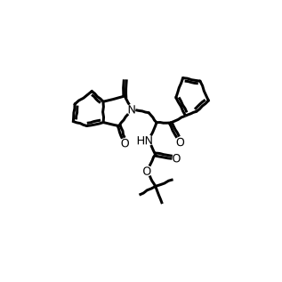 C=C1c2ccccc2C(=O)N1CC(NC(=O)OC(C)(C)C)C(=O)c1ccccc1